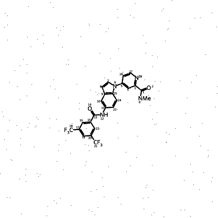 CNC(=O)c1cc(-n2ccc3cc(NC(=O)c4cc(C(F)(F)F)cc(C(F)(F)F)c4)ccc32)ccn1